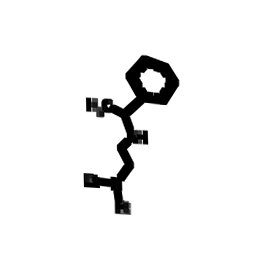 CCN(CC)CCNC(C)c1ccccc1